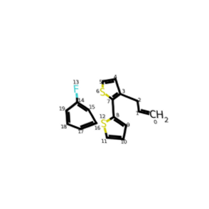 C=CCc1ccsc1-c1cccs1.Fc1ccccc1